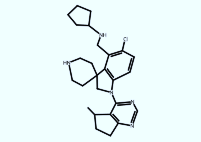 CC1CCc2ncnc(N3CC4(CCNCC4)c4c3ccc(Cl)c4CNC3CCCC3)c21